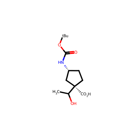 CC(O)[C@]1(C(=O)O)CC[C@@H](NC(=O)OC(C)(C)C)C1